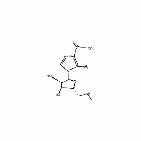 CNC[C@H]1O[C@@H](n2cnc(C(=O)O)c2N)[C@H](O)[C@@H]1O